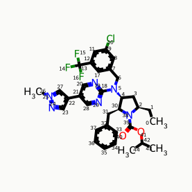 CC[C@@H]1C[C@H](N(Cc2cc(Cl)cc(C(F)(F)F)c2)c2ncc(-c3cnn(C)c3)cn2)[C@H](Cc2ccccc2)N1C(=O)OC(C)C